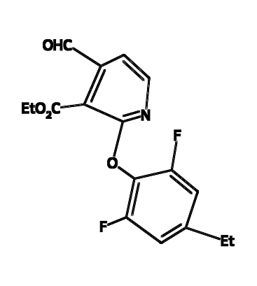 CCOC(=O)c1c(C=O)ccnc1Oc1c(F)cc(CC)cc1F